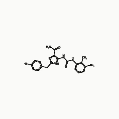 Cc1cccc(NC(=O)Nc2[nH]c(Cc3ccc([O])cc3)nc2C(N)=O)c1C